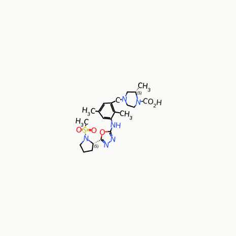 Cc1cc(CN2CCN(C(=O)O)[C@@H](C)C2)c(C)c(Nc2nnc([C@@H]3CCCN3S(C)(=O)=O)o2)c1